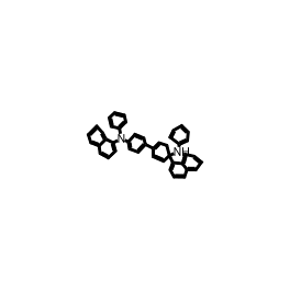 C1=CC(Nc2ccccc2)(c2cccc3ccccc23)CC=C1c1ccc(N(c2ccccc2)c2cccc3ccccc23)cc1